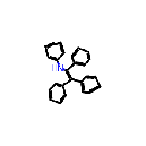 c1ccc(NC(=C(c2ccccc2)c2ccccc2)c2ccccc2)cc1